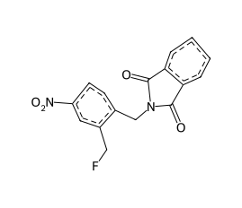 O=C1c2ccccc2C(=O)N1Cc1ccc([N+](=O)[O-])cc1CF